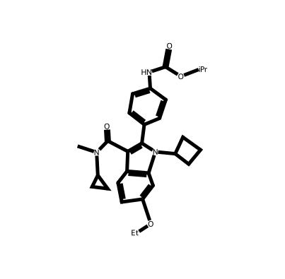 CCOc1ccc2c(C(=O)N(C)C3CC3)c(-c3ccc(NC(=O)OC(C)C)cc3)n(C3CCC3)c2c1